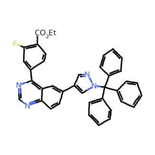 CCOC(=O)c1ccc(-c2ncnc3ccc(-c4cnn(C(c5ccccc5)(c5ccccc5)c5ccccc5)c4)cc23)cc1F